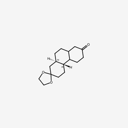 O=C1CCC2C(CC[C@@H]3CC4(CC[C@@H]23)OCCO4)C1